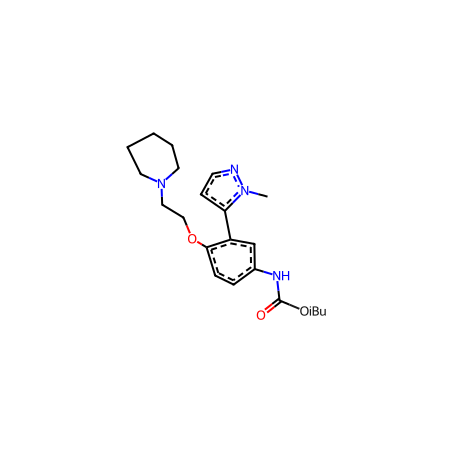 CC(C)COC(=O)Nc1ccc(OCCN2CCCCC2)c(-c2ccnn2C)c1